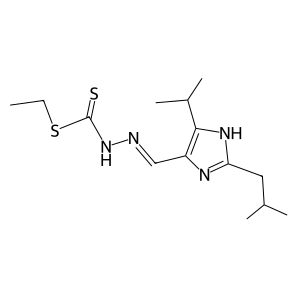 CCSC(=S)NN=Cc1nc(CC(C)C)[nH]c1C(C)C